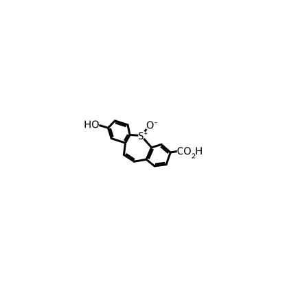 O=C(O)c1ccc2c(c1)[S+]([O-])c1ccc(O)cc1C=C2